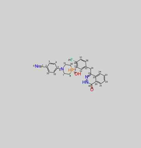 N#Cc1ccc(N2CC[PH](O)(c3cc(Cc4n[nH]c(=O)c5ccccc45)ccc3F)CC2)cc1